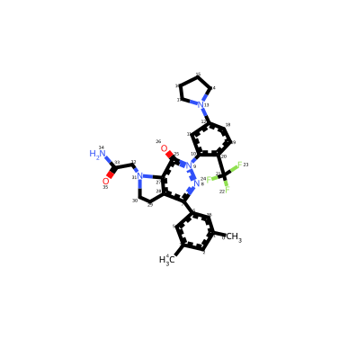 Cc1cc(C)cc(-c2nn(-c3cc(N4CCCC4)ccc3C(F)(F)F)c(=O)c3c2CCN3CC(N)=O)c1